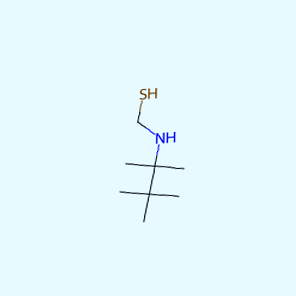 CC(C)(C)C(C)(C)NCS